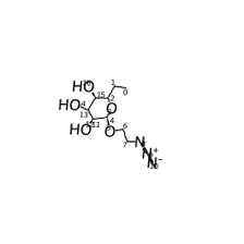 CCC1O[C@@H](OCCN=[N+]=[N-])[C@@H](O)C(O)[C@H]1O